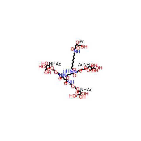 CC(=O)NC1C(OCCOCCNC(=O)C(CCC(=O)NCCOCCOC2O[C@H](CO)C(O)C(O)C2NC(C)=O)NC(=O)CCC(NC(=O)CCCCCCCCCNC(=O)C2CC(OC(C)C)C(CO)O2)C(=O)NCCOCCOC2OCC(O)(CCO)C(O)C2NC(C)=O)OC(CO)C(O)C1O